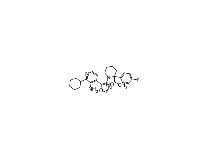 CC(O)C1(c2ccc(F)cc2)CCCCN1c1ncoc1-c1ccnc(C2CCCCC2)c1N